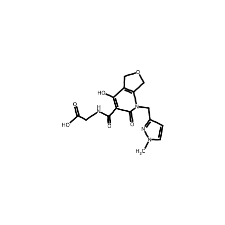 Cn1ccc(Cn2c3c(c(O)c(C(=O)NCC(=O)O)c2=O)COC3)n1